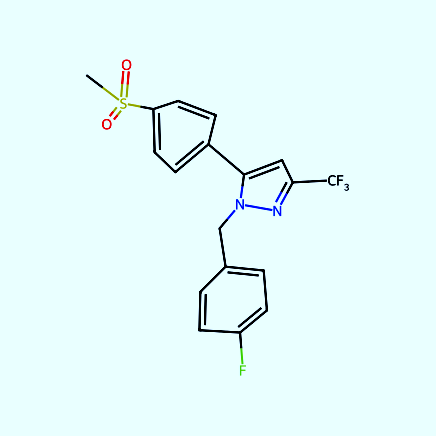 CS(=O)(=O)c1ccc(-c2cc(C(F)(F)F)nn2Cc2ccc(F)cc2)cc1